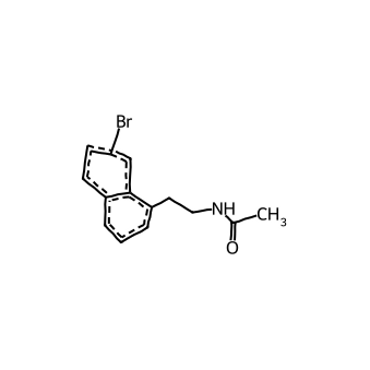 CC(=O)NCCc1cccc2ccc(Br)cc12